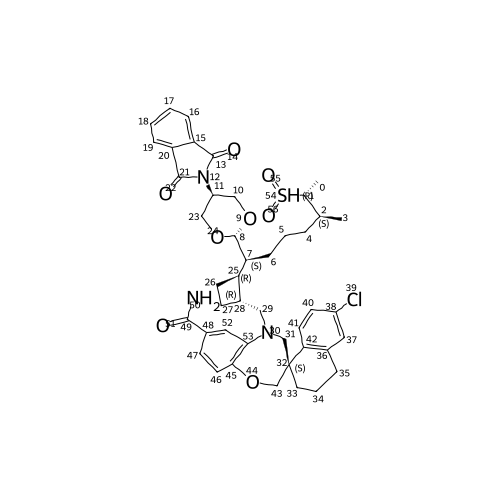 C[C@H]([C@@H](C)CCC[C@H]([C@H]1OC[C@H](N2C(=O)c3ccccc3C2=O)CO1)[C@@H]1CC[C@H]1CN1C[C@@]2(CCCc3cc(Cl)ccc32)COc2ccc(C(N)=O)cc21)[SH](=O)=O